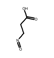 O=NCCC(=O)O